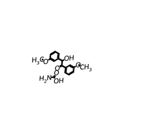 COc1cccc(C(=O)C(O)c2cccc(OC)c2)c1.NC(=O)O